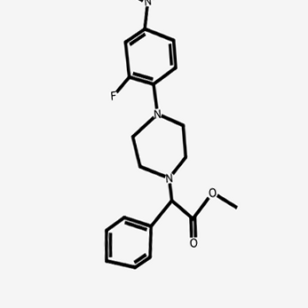 COC(=O)C(c1ccccc1)N1CCN(c2ccc([N+](=O)[O-])cc2F)CC1